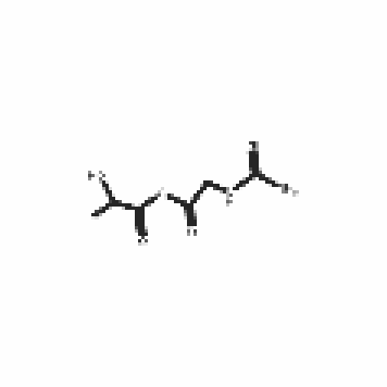 CC(O)C(=O)OC(=O)CNC(=N)N